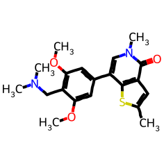 COc1cc(-c2cn(C)c(=O)c3cc(C)sc23)cc(OC)c1CN(C)C